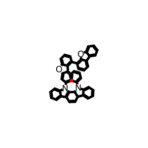 C1=CC2c3ccccc3N(c3ccccc3)C2c2c1c1ccccc1n2-c1ccc2c(c1)oc1cccc(-c3cccc4c3oc3ccccc34)c12